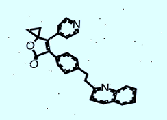 O=C1OC2(CC2)C(c2ccncc2)=C1c1ccc(CCc2ccc3ccccc3n2)cc1